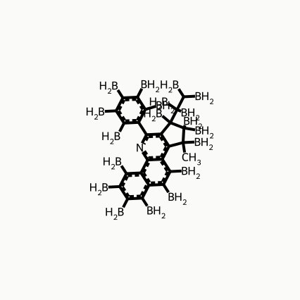 Bc1c(B)c(B)c(-c2nc3c(c(B)c(B)c4c(B)c(B)c(B)c(B)c43)c3c2C(B)(C(B)(B)C(B)B)C(B)(B)C3(B)C)c(B)c1B